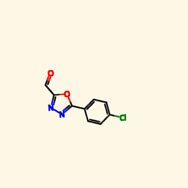 O=Cc1nnc(-c2ccc(Cl)cc2)o1